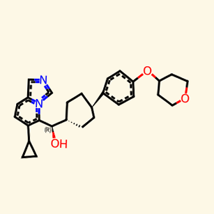 O[C@@H](c1c(C2CC2)ccc2cncn12)[C@H]1CC[C@H](c2ccc(OC3CCOCC3)cc2)CC1